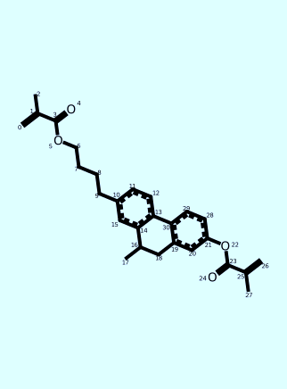 C=C(C)C(=O)OCCCCc1ccc2c(c1)C(C)Cc1cc(OC(=O)C(=C)C)ccc1-2